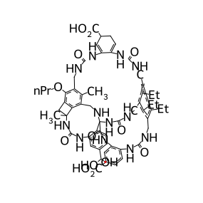 CCCOc1c2c(C)c3c4c1CC4(C)NC(=O)Nc1cc(C(O)O)ccc1C1(NC3)NC(=O)NCc3c(CC)c(c(CC)c(c3CC)CNC(=O)Nc3ccc(C(=O)O)cc3NC1=O)CNC(=O)NC1=CCC(C(=O)O)C=C1NC(=O)NC2